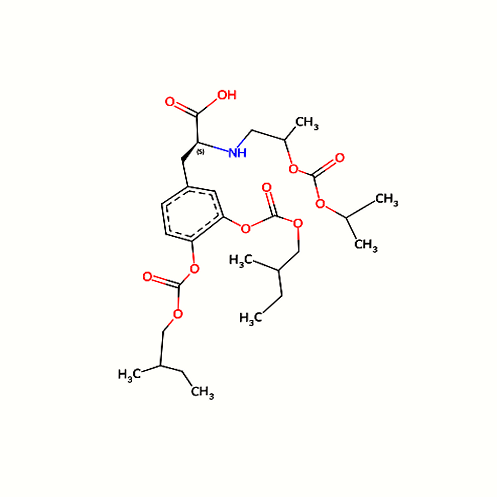 CCC(C)COC(=O)Oc1ccc(C[C@H](NCC(C)OC(=O)OC(C)C)C(=O)O)cc1OC(=O)OCC(C)CC